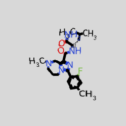 Cc1ccc(-c2nc(C(=O)N[C@@H](CC(C)C)C(N)=O)c3n2CCCN(C)C3)c(F)c1